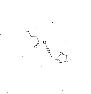 CCCCC(=O)OC#CC[C@H]1[CH][CH][CH]O1